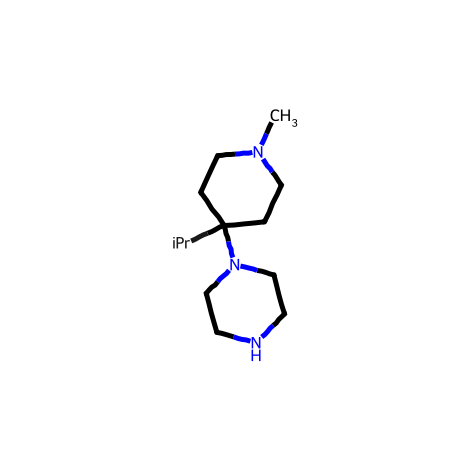 CC(C)C1(N2CCNCC2)CCN(C)CC1